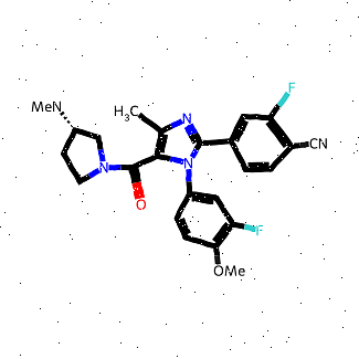 CN[C@H]1CCN(C(=O)c2c(C)nc(-c3ccc(C#N)c(F)c3)n2-c2ccc(OC)c(F)c2)C1